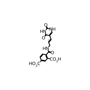 O=C(O)c1ccc(C(=O)NC/C=C/c2c[nH]c(=O)[nH]c2=O)c(C(=O)O)c1